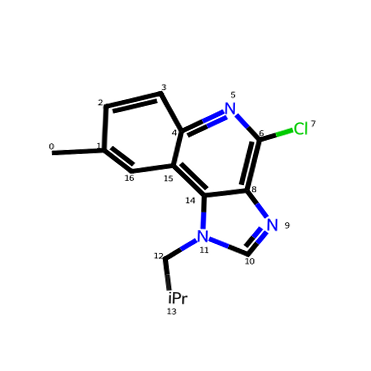 Cc1ccc2nc(Cl)c3ncn(CC(C)C)c3c2c1